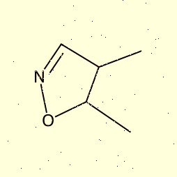 CC1C=NOC1C